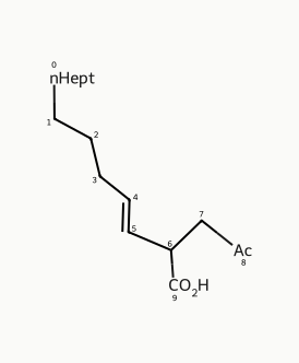 CCCCCCCCCC/C=C/C(CC(C)=O)C(=O)O